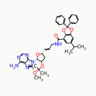 COC(C)(C)OC1C[C@@H](/C=C/CNC(=O)c2cc(C(C)C)cc3c2OC(c2ccccc2)(c2ccccc2)O3)O[C@H]1n1cnc2c(N)ncnc21